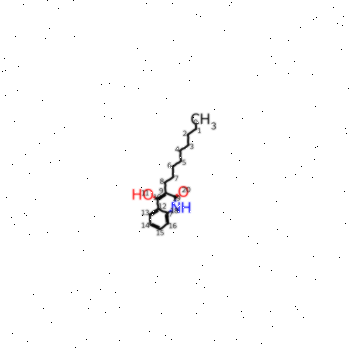 CCCCCCCCCc1c(O)c2ccccc2[nH]c1=O